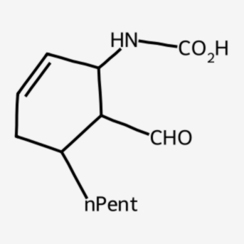 CCCCCC1CC=CC(NC(=O)O)C1C=O